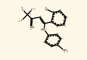 N=C(/C=C(\Nc1ccc(N)cc1)c1ccccc1Cl)C(F)(F)F